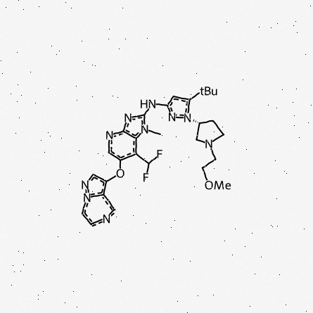 COCCN1CC[C@@H](n2nc(Nc3nc4ncc(Oc5cnn6ccncc56)c(C(F)F)c4n3C)cc2C(C)(C)C)C1